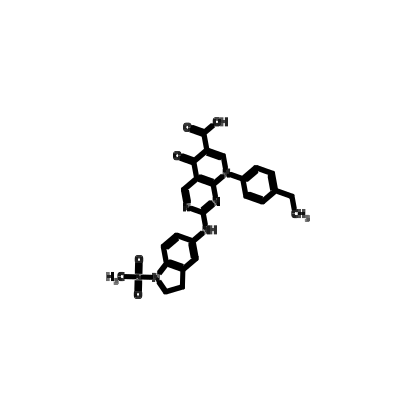 CCc1ccc(-n2cc(C(=O)O)c(=O)c3cnc(Nc4ccc5c(c4)CCN5S(C)(=O)=O)nc32)cc1